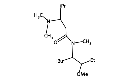 CCC(C)C(C(CC)OC)N(C)C(=O)CC(C(C)C)N(C)C